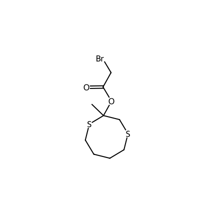 CC1(OC(=O)CBr)CSCCCCS1